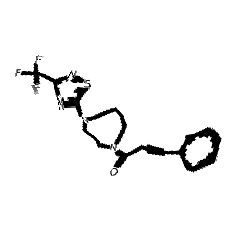 O=C(C#Cc1ccccc1)N1CCN(c2nc(C(F)(F)F)ns2)CC1